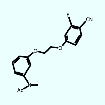 CC(=O)N(C)c1cccc(OC[CH]Oc2ccc(C#N)c(F)c2)c1